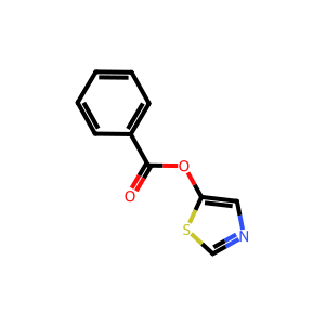 O=C(Oc1cncs1)c1ccccc1